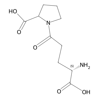 N[C@@H](CCC(=O)N1CCCC1C(=O)O)C(=O)O